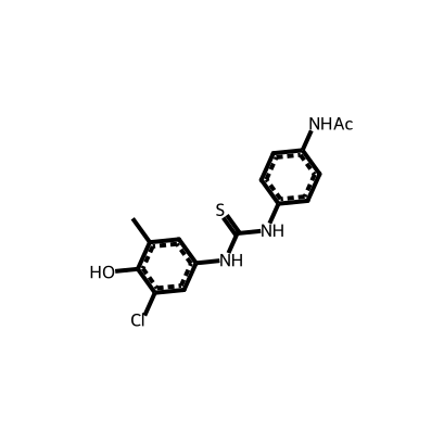 CC(=O)Nc1ccc(NC(=S)Nc2cc(C)c(O)c(Cl)c2)cc1